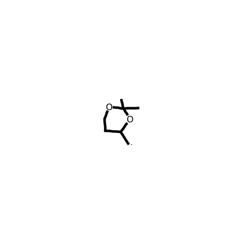 [CH2]C1CCOC(C)(C)O1